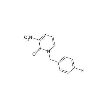 O=c1c([N+](=O)[O-])cccn1Cc1ccc(F)cc1